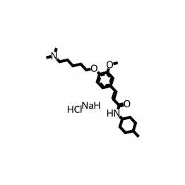 COc1cc(C=CC(=O)NC2CCC(C)CC2)ccc1OCCCCCN(C)C.Cl.[NaH]